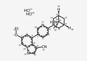 CCOc1cc(-c2ccc(N3C[C@H]4C[C@@H](C3)[C@H]4N)nc2)c2c(C#N)cnn2c1.Cl.Cl